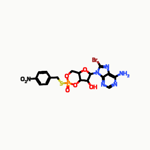 Nc1ncnc2c1nc(Br)n2C1OC2COP(=O)(SCc3ccc([N+](=O)[O-])cc3)OC2C1O